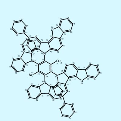 Cc1c(-n2c3ccc(-c4ccccc4)cc3c3c4oc5ccccc5c4ccc32)c(-n2c3ccccc3c3ccccc32)c(C#N)c(-n2c3ccccc3c3ccccc32)c1-n1c2ccc(-c3ccccc3)cc2c2c3oc4ccccc4c3ccc21